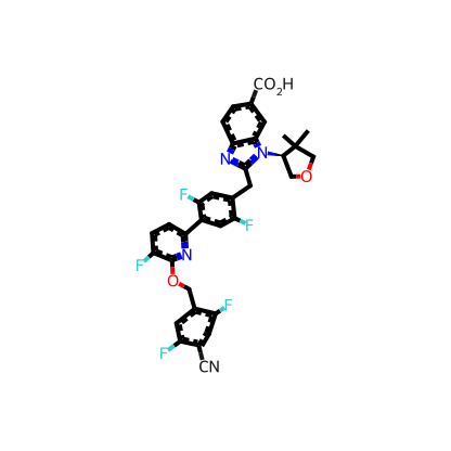 CC1(C)COC[C@H]1n1c(Cc2cc(F)c(-c3ccc(F)c(OCc4cc(F)c(C#N)cc4F)n3)cc2F)nc2ccc(C(=O)O)cc21